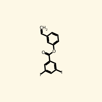 C=Cc1cccc(OC(=O)c2cc(I)cc(I)c2)c1